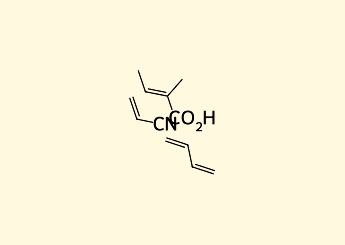 C=CC#N.C=CC=C.CC=C(C)C(=O)O